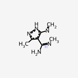 C=Nc1[nH]nc(C)c1/C(N)=N\C